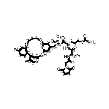 CC(C)[C@H](NC(=O)CN1C(=O)C=CC1=O)C(=O)N[C@@H](CCCNC(N)=O)C(=O)N=S(C)(=O)Cc1cc2nc(c1)OCCCOc1cc(F)ccc1-c1cc(ncc1F)N2